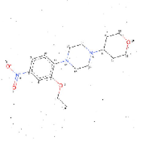 CCOc1cc([N+](=O)[O-])ccc1N1CCN(C2CCOCC2)CC1